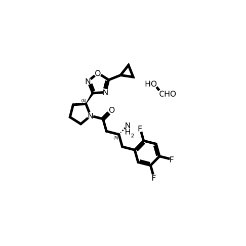 N[C@@H](CC(=O)N1CCC[C@H]1c1noc(C2CC2)n1)Cc1cc(F)c(F)cc1F.O=CO